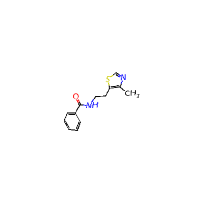 Cc1ncsc1CCNC(=O)c1ccccc1